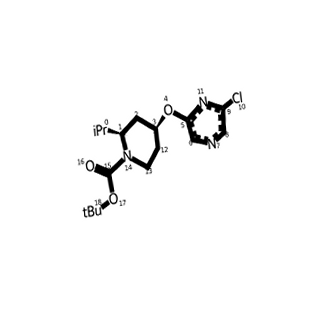 CC(C)[C@H]1C[C@@H](Oc2cncc(Cl)n2)CCN1C(=O)OC(C)(C)C